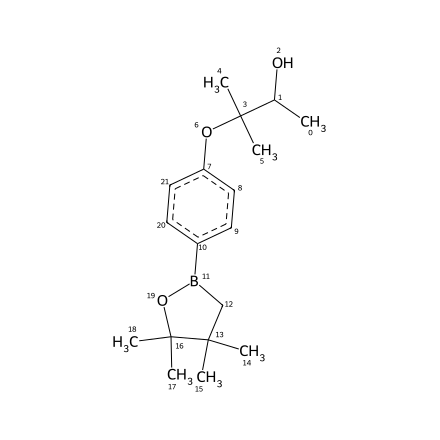 CC(O)C(C)(C)Oc1ccc(B2CC(C)(C)C(C)(C)O2)cc1